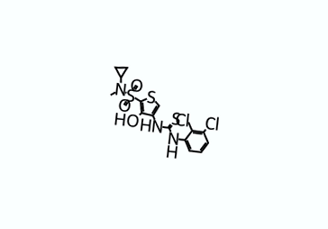 CN(C1CC1)S(=O)(=O)c1scc(NC(=S)Nc2cccc(Cl)c2Cl)c1O